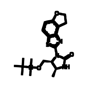 C[C@@H]1NC(=O)N(c2nc3c4c(ccc3s2)OCC4)[C@@H]1CO[Si](C)(C)C(C)(C)C